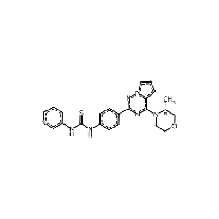 C[C@@H]1COCCN1c1nc(-c2ccc(NC(=S)Nc3cccnc3)cc2)nn2cccc12